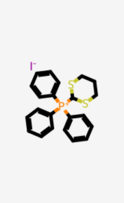 [I-].c1ccc([P+](c2ccccc2)(c2ccccc2)C2SCCCS2)cc1